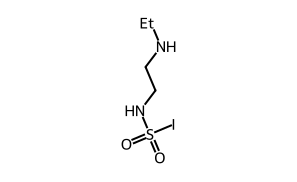 CCNCCNS(=O)(=O)I